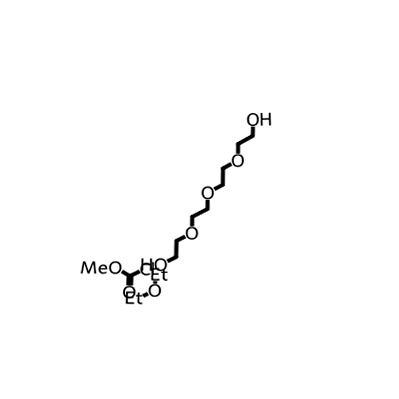 CCOCC.COC(=O)Cl.OCCOCCOCCOCCO